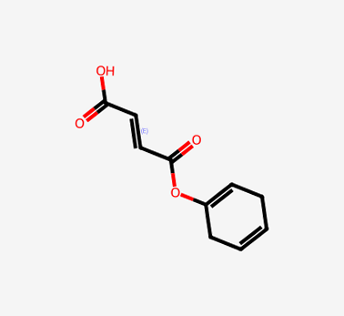 O=C(O)/C=C/C(=O)OC1=CCC=CC1